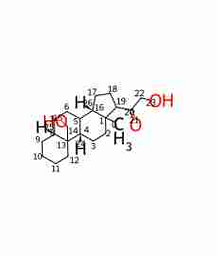 CC12CC[C@H]3C(CC[C@H]4CCCCC43CO)[C@@H]1CCC2C(=O)CO